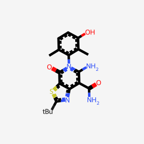 Cc1ccc(O)c(C)c1-n1c(N)c(C(N)=O)c2nc(C(C)(C)C)sc2c1=O